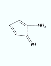 NC1=CC=CC1=P